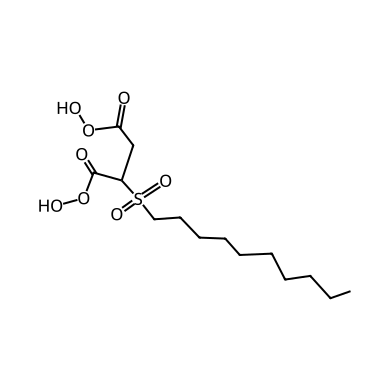 CCCCCCCCCCS(=O)(=O)C(CC(=O)OO)C(=O)OO